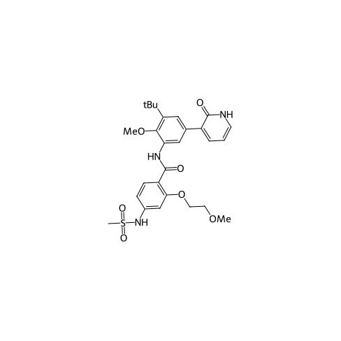 COCCOc1cc(NS(C)(=O)=O)ccc1C(=O)Nc1cc(-c2ccc[nH]c2=O)cc(C(C)(C)C)c1OC